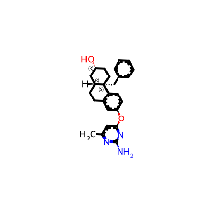 Cc1cc(Oc2ccc3c(c2)CC[C@@H]2C[C@H](O)CC[C@@]32Cc2ccccc2)nc(N)n1